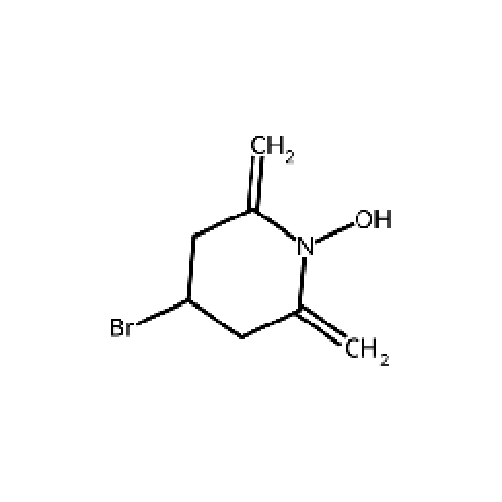 C=C1CC(Br)CC(=C)N1O